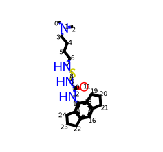 CN(C)CCCCNSNC(=O)Nc1c2c(cc3c1CCC3)CCC2